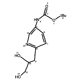 CC(C)(C)OC(=O)Nc1ccc(CC(O)CO)nc1